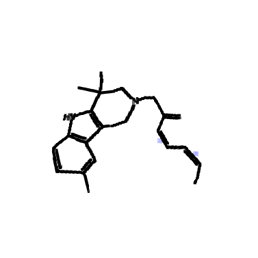 C=C(/C=C\C=C/C)CN1Cc2c([nH]c3ccc(C)cc23)C(C)(C)C1